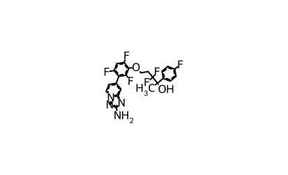 CC(O)(c1ccc(F)cc1)C(F)(F)CCOc1c(F)cc(F)c(-c2ccn3nc(N)nc3c2)c1F